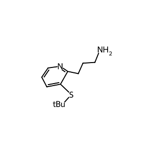 CC(C)(C)Sc1cccnc1CCCN